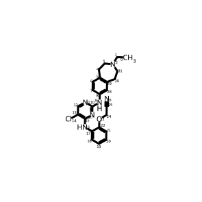 CCN1CCc2ccc(Nc3ncc(Cl)c(Nc4ccccc4OCC#N)n3)cc2CC1